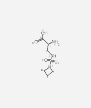 NC(CNS(=O)(=O)N1CCC1)C(=O)O